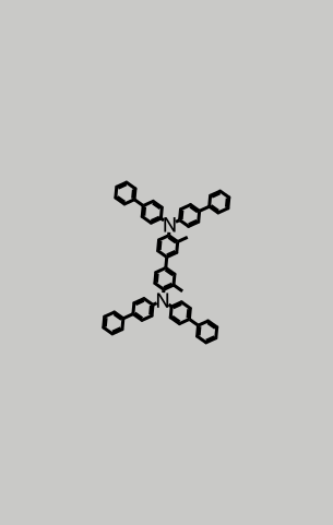 Cc1cc(-c2ccc(N(c3ccc(-c4ccccc4)cc3)c3ccc(-c4ccccc4)cc3)c(C)c2)ccc1N(c1ccc(-c2ccccc2)cc1)c1ccc(-c2ccccc2)cc1